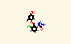 Cc1cc(O)ccc1OCc1c(Cl)cccc1-n1nn[nH]c1=O